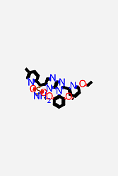 CCOc1cccc(-c2nc3ncc(C(c4ccc(C)cn4)S(N)(=O)=O)nc3n2-c2c(OC)cccc2OC)n1